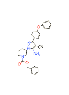 N#Cc1c(-c2ccc(Oc3ccccc3)cc2)nn(C2CCCN(C(=O)OCc3ccccc3)C2)c1N